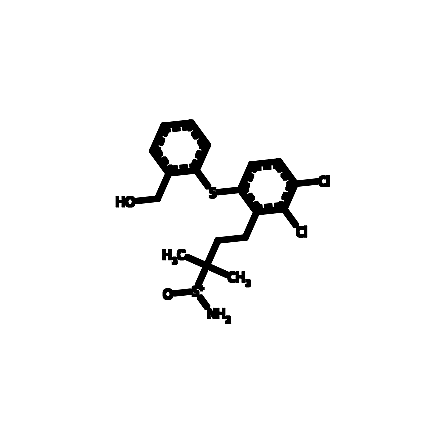 CC(C)(CCc1c(Sc2ccccc2CO)ccc(Cl)c1Cl)[S+](N)[O-]